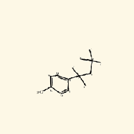 CC(C)(C)CC(C)(C)c1ccc([O])cc1